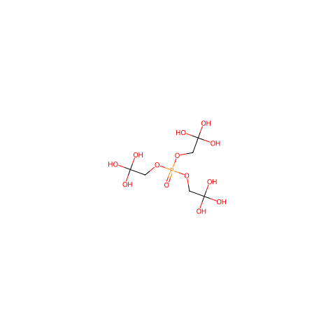 O=P(OCC(O)(O)O)(OCC(O)(O)O)OCC(O)(O)O